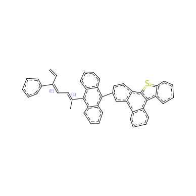 C=C/C(=C\C=C(/C)c1c2ccccc2c(-c2ccc3c(c2)c2ccccc2c2c4ccccc4sc32)c2ccccc12)c1ccccc1